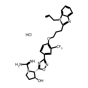 C=CCn1c(CCCOc2ccc(-c3noc([C@@H]4[C@@H](O)CCN4C(=N)N)n3)cc2C(F)(F)F)nc2ccccc21.Cl